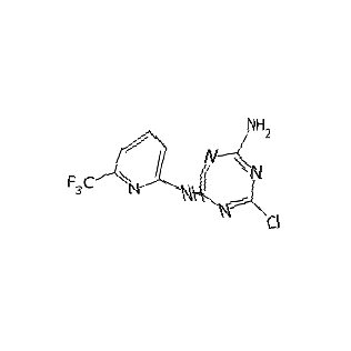 Nc1nc(Cl)nc(Nc2cccc(C(F)(F)F)n2)n1